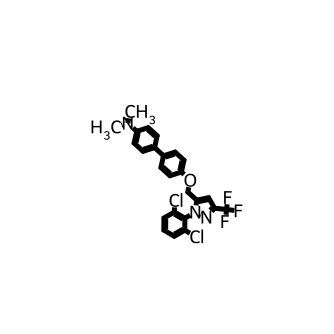 CN(C)c1ccc(-c2ccc(OCc3cc(C(F)(F)F)nn3-c3c(Cl)cccc3Cl)cc2)cc1